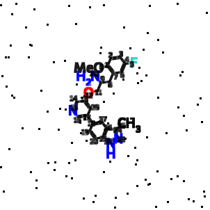 COc1ccc(F)cc1CC(N)COc1cncc(-c2ccc3[nH]nc(C)c3c2)c1